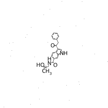 C[C@H](O)CNC(=O)c1ccc2c(C(=O)Cc3ccccc3)c[nH]c2c1